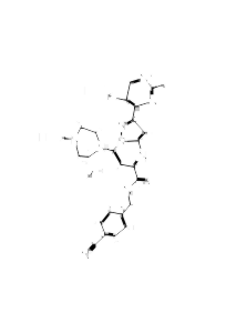 COc1cnc(C)nc1-c1cc2nc(C(=O)NCc3ccc(C#N)cc3)cc(N3CCN(C)C[C@H]3CF)n2n1